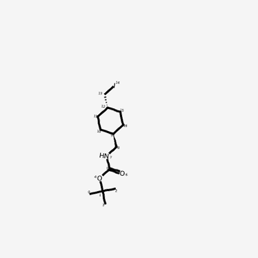 CC(C)(C)OC(=O)NC[C@H]1CC[C@H](CI)CC1